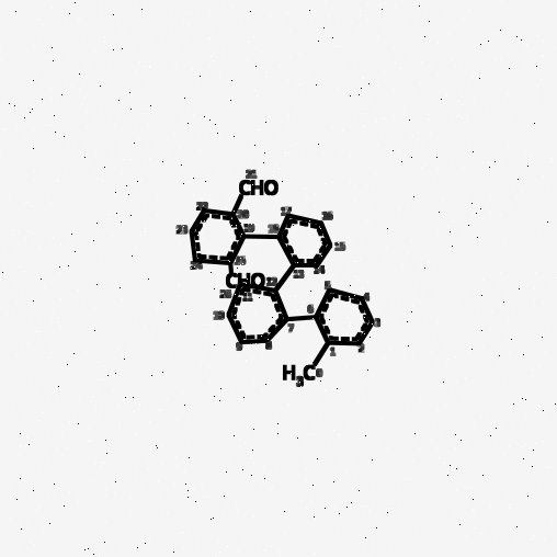 Cc1ccccc1-c1ccccc1-c1ccccc1-c1c(C=O)cccc1C=O